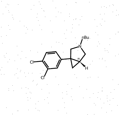 CCCCN1C[C@@H]2CC2(c2ccc(Cl)c(Cl)c2)C1